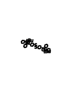 CC(C)(C)[Si](OCc1ccc(SSc2ccc(CO[Si](c3ccccc3)(c3ccccc3)C(C)(C)C)cc2)cc1)(c1ccccc1)c1ccccc1